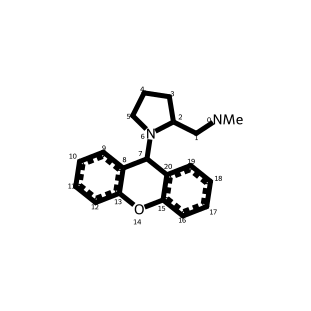 CNCC1CCCN1C1c2ccccc2Oc2ccccc21